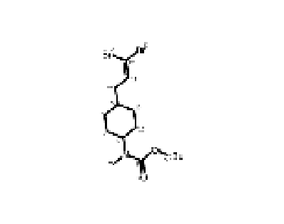 CN(C(=O)OC(C)(C)C)C1CCC(CC=C(Br)Br)CC1